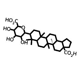 CC1(C)C(C2OC(C(=O)O)C(O)C(O)C2O)CCC2(C)C1CCC1(C)C2CCC2C3CCCC3(C(=O)O)CC[C@]21C